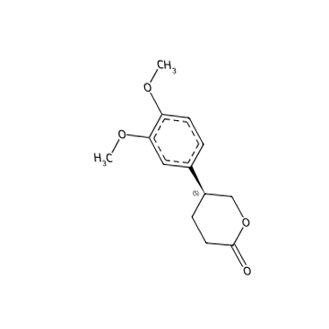 COc1ccc([C@@H]2CCC(=O)OC2)cc1OC